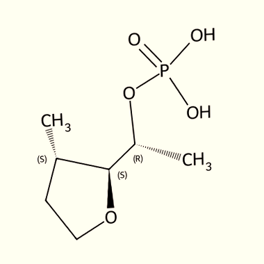 C[C@H]1CCO[C@@H]1[C@@H](C)OP(=O)(O)O